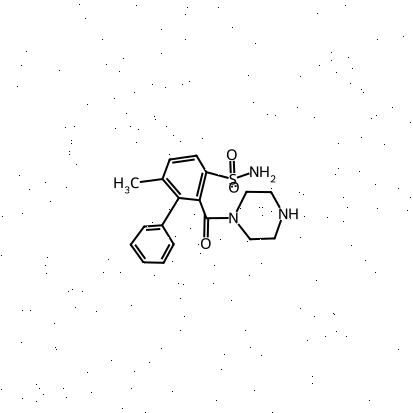 Cc1ccc(S(N)(=O)=O)c(C(=O)N2CCNCC2)c1-c1ccccc1